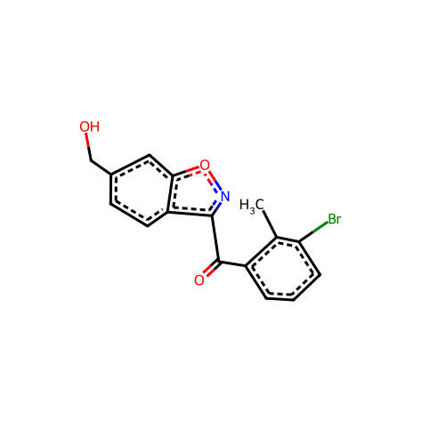 Cc1c(Br)cccc1C(=O)c1noc2cc(CO)ccc12